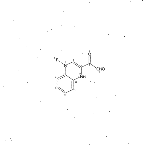 O=CC(=O)C1=CN(F)c2ccccc2N1